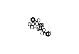 CC(=O)Oc1ccccc1C(=O)O[C@H]1COC2C1OC[C@H]2OC(=O)c1cccnc1